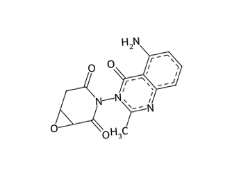 Cc1nc2cccc(N)c2c(=O)n1N1C(=O)CC2OC2C1=O